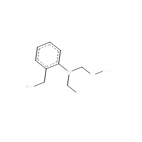 CC(C)(C)Cc1ccccc1N(COC=O)CC(=O)O